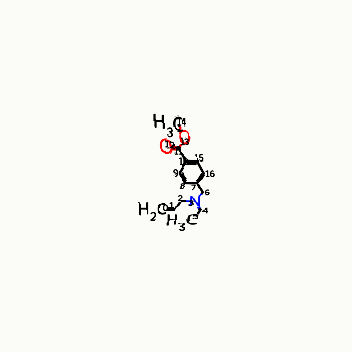 C=CCN(CC)Cc1ccc(C(=O)OC)cc1